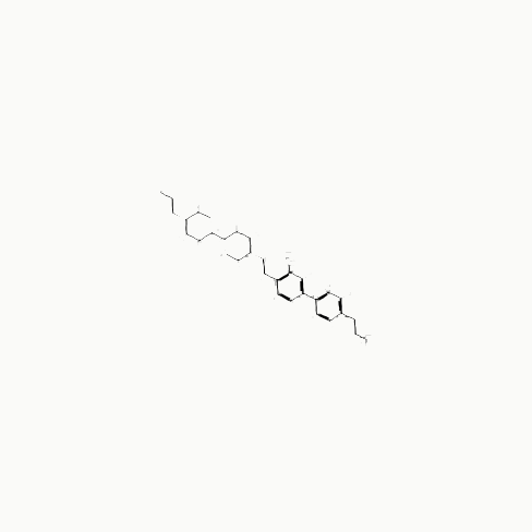 CCC[C@H]1CC[C@H]([C@H]2CC[C@H](CCc3ccc(-c4ccc(CCF)cc4)cc3F)CC2)CC1